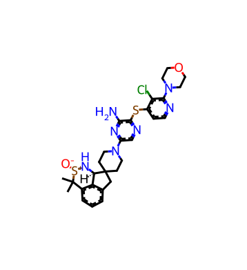 CC1(C)c2cccc3c2[C@@H](N[S@+]1[O-])C1(CCN(c2cnc(Sc4ccnc(N5CCOCC5)c4Cl)c(N)n2)CC1)C3